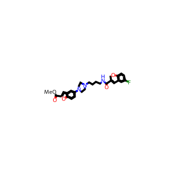 COC(=O)c1cc2cc(N3CCN(CCCCNC(=O)C4=Cc5cc(F)ccc5OC4)CC3)ccc2o1